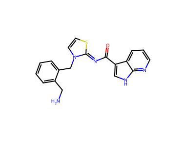 NCc1ccccc1Cn1ccsc1=NC(=O)c1c[nH]c2ncccc12